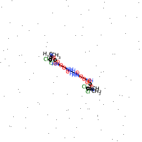 CN(C)[C@H]1Cc2c(Cl)cc(Cl)cc2[C@@H]1Oc1ccc(S(=O)(=O)NCCOCCOCCNC(=O)NCCCCNC(=O)NCCOCCOCCNS(=O)(=O)c2ccc(O[C@H]3c4cc(Cl)cc(Cl)c4C[C@@H]3N(C)C)cc2)cc1